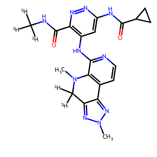 [2H]C([2H])([2H])NC(=O)c1nnc(NC(=O)C2CC2)cc1Nc1nccc2c1N(C)C([2H])([2H])c1nn(C)nc1-2